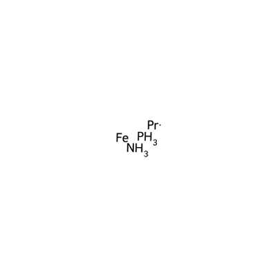 N.P.[Fe].[Pr]